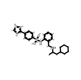 CC(CC1CCCCC1)NCc1ccccc1NS(=O)(=O)c1ccc(-c2ncon2)cc1